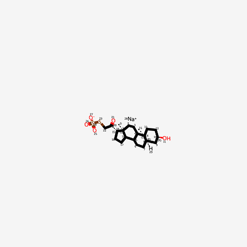 C[C@]12CCC3C(CC[C@@H]4C[C@H](O)CC[C@]34C)C1CC[C@@H]2C(=O)CSS(=O)(=O)[O-].[Na+]